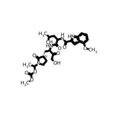 COC(=O)OC(C)N1CC[C@@H](CC(NC(=O)C(CC(C)C)NC(=O)c2cc3c(OC)cccc3[nH]2)C(=O)CO)C1=O